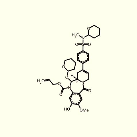 C=CCOC(=O)N1c2cc(O)c(OC)cc2C(=O)N2CC=C(c3ccc(S(=O)(=O)N(C)C4CCCCO4)cc3)C[C@H]2C1OC1CCCCO1